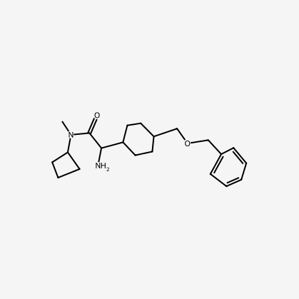 CN(C(=O)C(N)C1CCC(COCc2ccccc2)CC1)C1CCC1